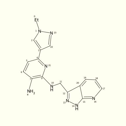 CCn1cc(-c2ccc(N)c(NCc3n[nH]c4ncccc34)n2)cn1